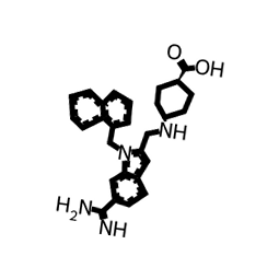 N=C(N)c1ccc2cc(CN[C@H]3CC[C@H](C(=O)O)CC3)n(Cc3cccc4ccccc34)c2c1